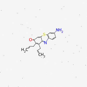 C=CCc1c2nc3ccc(N)cc3sc-2cc(=O)c1CC=C